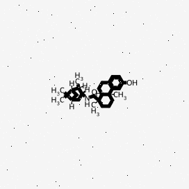 C[C@@H]1[C@H]2C[C@@H](C[C@H]1NC(=O)[C@]1(C)CCC[C@]3(C)c4cc(O)ccc4CC[C@@H]13)C2(C)C